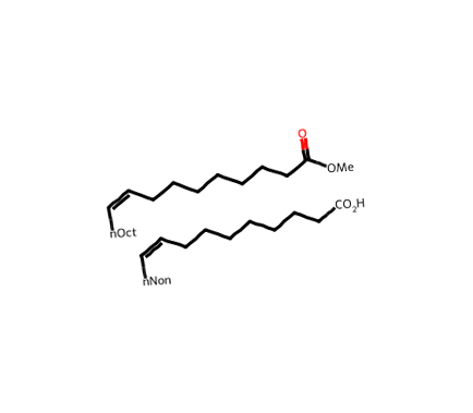 CCCCCCCC/C=C\CCCCCCCC(=O)OC.CCCCCCCCC/C=C\CCCCCCCC(=O)O